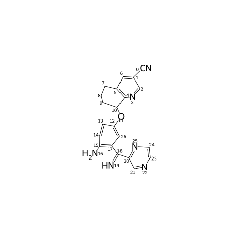 N#Cc1cnc2c(c1)CCCC2Oc1ccc(N)c(C(=N)c2cnccn2)c1